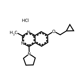 Cc1nc(N2CCCC2)c2ccc(OCC3CC3)cc2n1.Cl